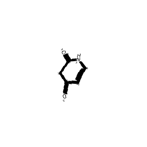 O=C1[CH]C(=O)NC=C1